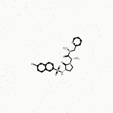 C[C@@H](C(=O)N(C)Cc1ccccn1)N1CC[C@H](NS(=O)(=O)c2ccc3cc(Cl)ccc3c2)C1=O